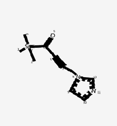 C[Si](C)(C)C(=O)C#Cn1ccnc1